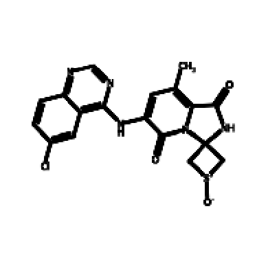 Cc1cc(Nc2ncnc3ccc(Cl)cc23)c(=O)n2c1C(=O)NC21C[S+]([O-])C1